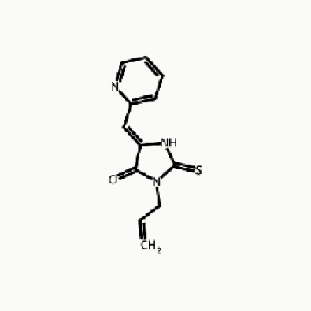 C=CCN1C(=O)/C(=C/c2ccccn2)NC1=S